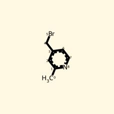 Cc1cc(CBr)c[c]n1